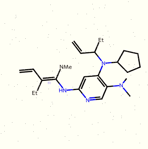 C=C/C(CC)=C(\NC)Nc1cc(N(C(C=C)CC)C2CCCC2)c(N(C)C)cn1